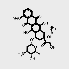 COc1cccc2c1C(=O)c1c(O)c3c(c(O)c1C2=O)C[C@@](O)(C(=O)CO)C[C@@H]3O[C@H]1C[C@H](N)[C@H](O)[C@H](C)O1.[NH2][Ir]